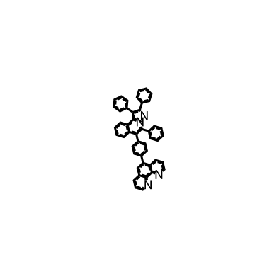 c1ccc(-c2nn3c(-c4ccccc4)c(-c4ccc(-c5cc6cccnc6c6ncccc56)cc4)c4ccccc4c3c2-c2ccccc2)cc1